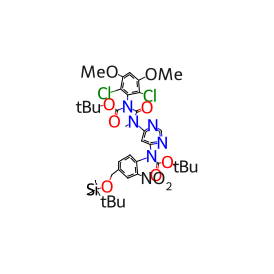 COc1cc(OC)c(Cl)c(N(C(=O)OC(C)(C)C)C(=O)N(C)c2cc(N(C(=O)OC(C)(C)C)c3ccc(CO[Si](C)(C)C(C)(C)C)cc3[N+](=O)[O-])ncn2)c1Cl